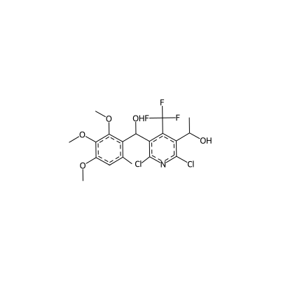 COc1cc(C)c(C(O)c2c(Cl)nc(Cl)c(C(C)O)c2C(F)(F)F)c(OC)c1OC